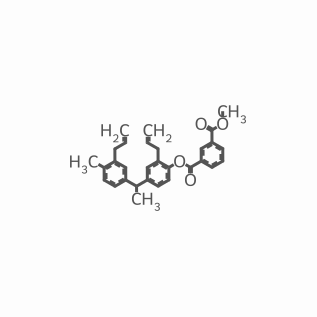 C=CCc1cc(C(C)c2ccc(OC(=O)c3cccc(C(=O)OC)c3)c(CC=C)c2)ccc1C